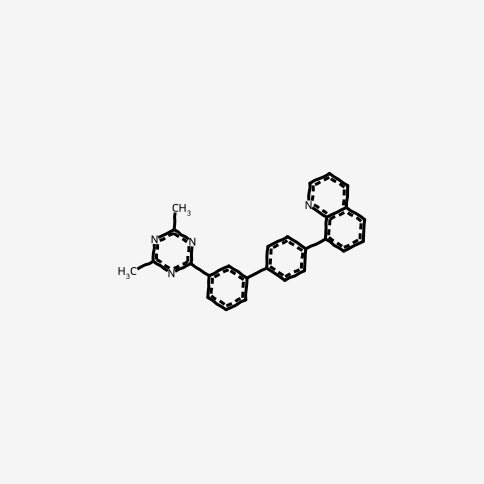 Cc1nc(C)nc(-c2cccc(-c3ccc(-c4cccc5cccnc45)cc3)c2)n1